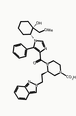 COC[C@]1(O)CCCC[C@H]1n1cnc(C(=O)N2CCN(C(=O)O)C[C@H]2CCn2cc3ccccc3n2)c1-c1ccccc1